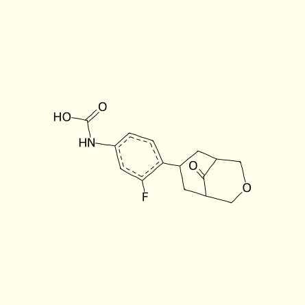 O=C(O)Nc1ccc(C2CC3COCC(C2)C3=O)c(F)c1